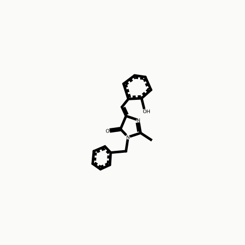 CC1=NC(=Cc2ccccc2O)C(=O)N1Cc1ccccc1